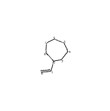 C=C[C]1CCCCCC1